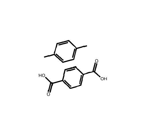 Cc1ccc(C)cc1.O=C(O)c1ccc(C(=O)O)cc1